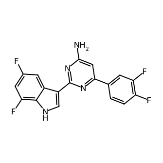 Nc1cc(-c2ccc(F)c(F)c2)nc(-c2c[nH]c3c(F)cc(F)cc23)n1